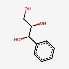 OC[C@@H](O)[C@H](O)c1ccccc1